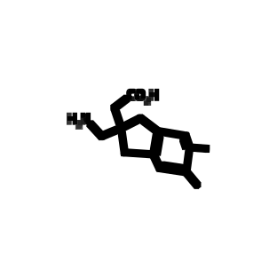 Cc1cc2c(cc1C)CC(CN)(CC(=O)O)C2